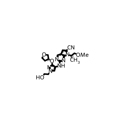 COC[C@H](C)n1c(C#N)cc2cnc(Nc3cn(CCO)nc3O[C@H]3CCOC3)nc21